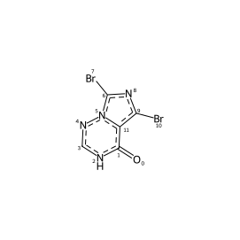 O=c1[nH]cnn2c(Br)nc(Br)c12